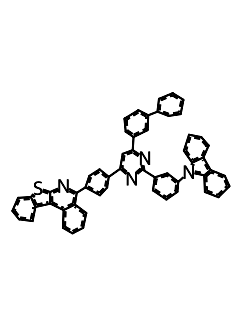 c1ccc(-c2cccc(-c3cc(-c4ccc(-c5nc6sc7ccccc7c6c6ccccc56)cc4)nc(-c4cccc(-n5c6ccccc6c6ccccc65)c4)n3)c2)cc1